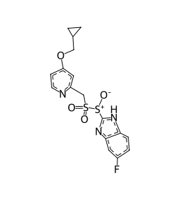 O=S(=O)(Cc1cc(OCC2CC2)ccn1)[S+]([O-])c1nc2cc(F)ccc2[nH]1